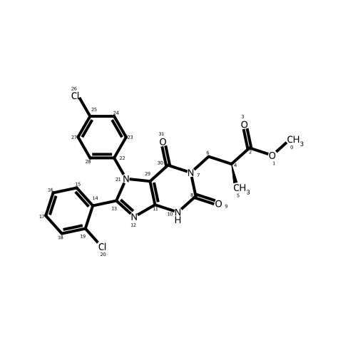 COC(=O)[C@@H](C)Cn1c(=O)[nH]c2nc(-c3ccccc3Cl)n(-c3ccc(Cl)cc3)c2c1=O